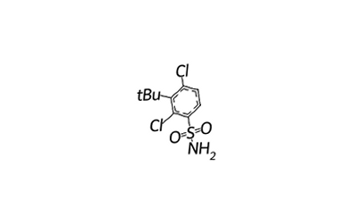 CC(C)(C)c1c(Cl)ccc(S(N)(=O)=O)c1Cl